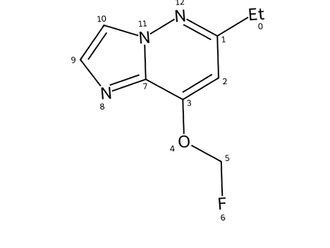 CCc1cc(OCF)c2nccn2n1